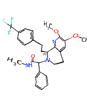 CNC(=O)C(c1ccccc1)N1CCc2cc(OC)c(OC)nc2[C@@H]1CCc1ccc(C(F)(F)F)cc1